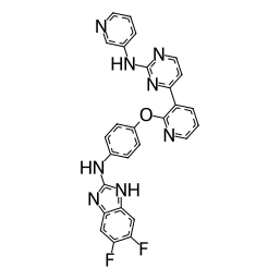 Fc1cc2nc(Nc3ccc(Oc4ncccc4-c4ccnc(Nc5cccnc5)n4)cc3)[nH]c2cc1F